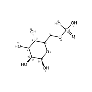 O=P(O)(O)OCC1O[C@@H](O)[C@@H](O)C(O)[C@@H]1O